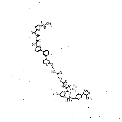 Cc1ncsc1-c1ccc(CNC(=O)[C@@H]2C[C@@H](O)CN2C(=O)[C@@H](NC(=O)COCC(=O)NCCOc2cc(-c3cccc(-c4csc(NC(=O)CNC(=O)c5ccn(S(C)(=O)=O)c5)n4)c3)ccn2)C(C)(C)C)cc1